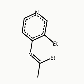 CC/C(C)=N\c1ccncc1CC